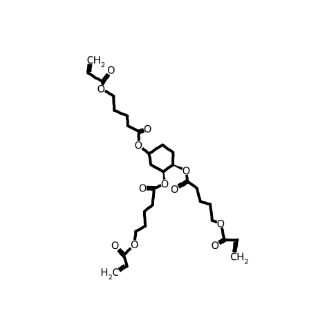 C=CC(=O)OCCCCC(=O)OC1CC[C@@H](OC(=O)CCCCOC(=O)C=C)[C@@H](OC(=O)CCCCOC(=O)C=C)C1